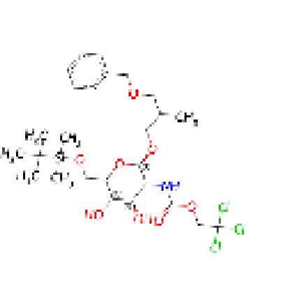 CC(COCc1ccccc1)CO[C@@H]1OC(CO[Si](C)(C)C(C)(C)C)[C@@H](O)[C@H](O)C1NC(=O)OCC(Cl)(Cl)Cl